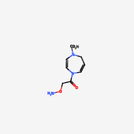 NOCC(=O)N1C=CCN(C(=O)O)C=C1